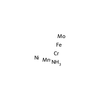 N.[Cr].[Fe].[Mn].[Mo].[Ni]